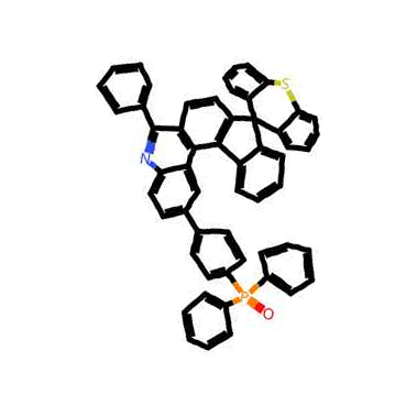 O=P(c1ccccc1)(c1ccccc1)c1ccc(-c2ccc3nc(-c4ccccc4)c4ccc5c(c4c3c2)-c2ccccc2C52c3ccccc3Sc3ccccc32)cc1